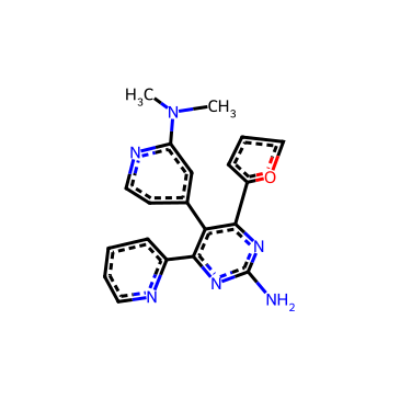 CN(C)c1cc(-c2c(-c3ccccn3)nc(N)nc2-c2ccco2)ccn1